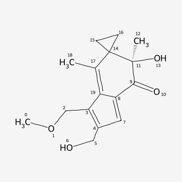 COCC1=C(CO)C=C2C(=O)[C@](C)(O)C3(CC3)C(C)=C21